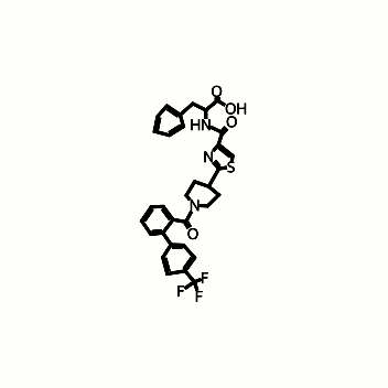 O=C(NC(Cc1ccccc1)C(=O)O)c1csc(C2CCN(C(=O)c3ccccc3-c3ccc(C(F)(F)F)cc3)CC2)n1